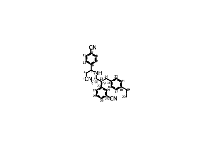 C[C@H](NC(CC#N)c1ccc(C#N)cc1)[C@@H](Cc1ccc(CI)cc1)c1cccc(C#N)c1